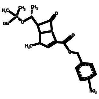 CC1C=C(C(=O)OCc2ccc([N+](=O)[O-])cc2)N2C(=O)C([C@@H](C)O[Si](C)(C)C(C)(C)C)C12